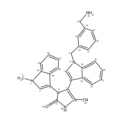 Cn1cc(-n2c(-c3cn(Cc4cccc(CN)c4)c4ccccc34)c(C#N)[nH]c2=O)c2ccccc21